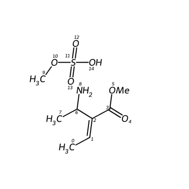 CC=C(C(=O)OC)C(C)N.COS(=O)(=O)O